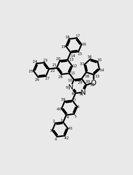 c1ccc(-c2ccc(-c3nc(-c4cc(-c5ccccc5)cc(-c5ccccc5)c4)c4c(n3)oc3ccccc34)cc2)cc1